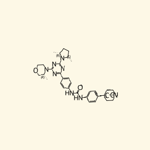 C[C@@H]1COCCN1c1nc(-c2ccc(NC(=O)Nc3ccc(C45CCN(CC4)CC5)cc3)cc2)nc(N2[C@H](C)CC[C@@H]2C)n1